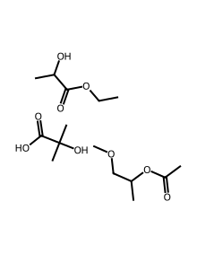 CC(C)(O)C(=O)O.CCOC(=O)C(C)O.COCC(C)OC(C)=O